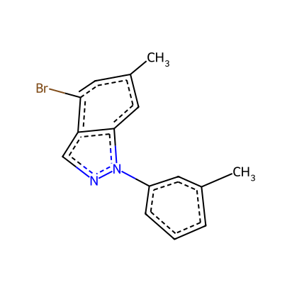 Cc1cccc(-n2ncc3c(Br)cc(C)cc32)c1